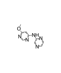 COc1cc(Nc2cnccn2)ncn1